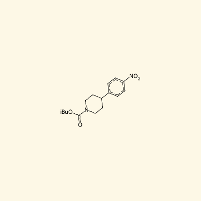 CC(C)COC(=O)N1CCC(c2ccc([N+](=O)[O-])cc2)CC1